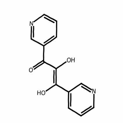 O=C(C(O)=C(O)c1cccnc1)c1cccnc1